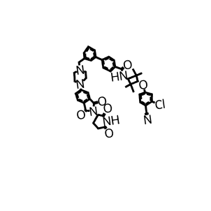 CC1(C)[C@H](NC(=O)c2ccc(-c3cccc(CN4CCN(c5ccc6c(c5)C(=O)N(C5CCC(=O)NC5=O)C6=O)CC4)c3)cc2)C(C)(C)[C@H]1Oc1ccc(C#N)c(Cl)c1